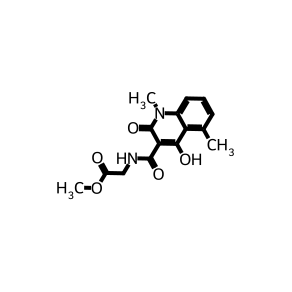 COC(=O)CNC(=O)c1c(O)c2c(C)cccc2n(C)c1=O